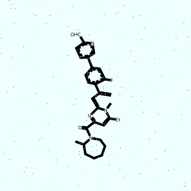 C=C(/C=C1/N=C(C(=O)N2CCCCCC2C)C=C(CC)N1C)c1ccc(-c2ccc(C=O)nc2)cc1F